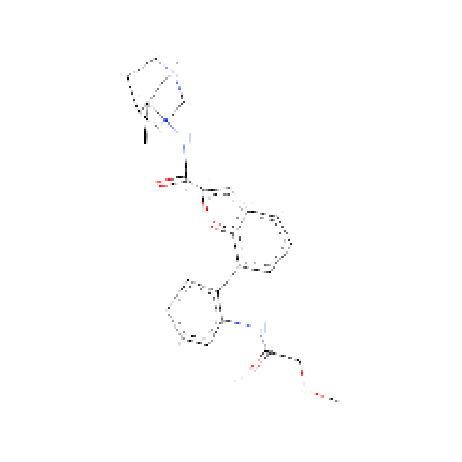 COCC(=O)Nc1ccccc1-c1cccc2cc(C(=O)N[C@H]3CN4CCC3CC4)oc12.Cl